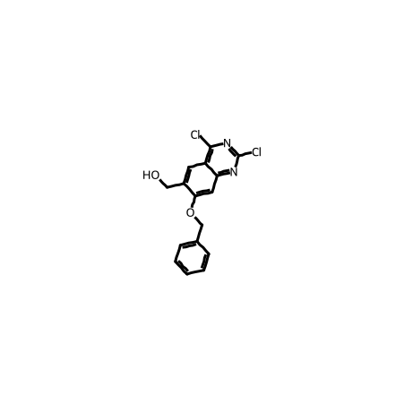 OCc1cc2c(Cl)nc(Cl)nc2cc1OCc1ccccc1